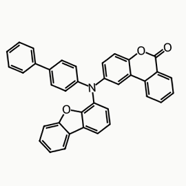 O=c1oc2ccc(N(c3ccc(-c4ccccc4)cc3)c3cccc4c3oc3ccccc34)cc2c2ccccc12